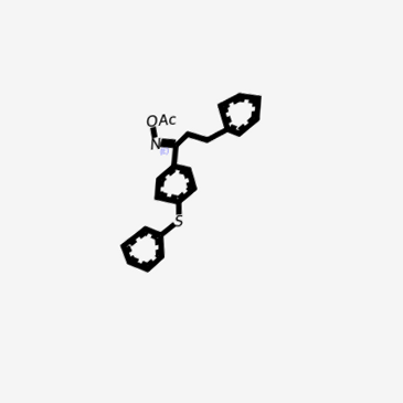 CC(=O)O/N=C(\CCc1ccccc1)c1ccc(Sc2ccccc2)cc1